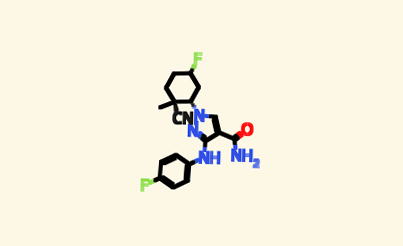 C[C@]1(C#N)CC[C@@H](F)C[C@@H]1n1cc(C(N)=O)c(Nc2ccc(F)cc2)n1